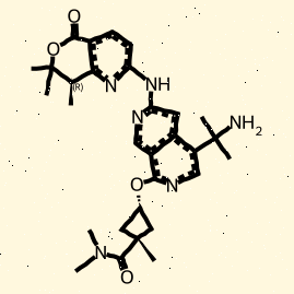 C[C@@H]1c2nc(Nc3cc4c(C(C)(C)N)cnc(O[C@H]5C[C@@](C)(C(=O)N(C)C)C5)c4cn3)ccc2C(=O)OC1(C)C